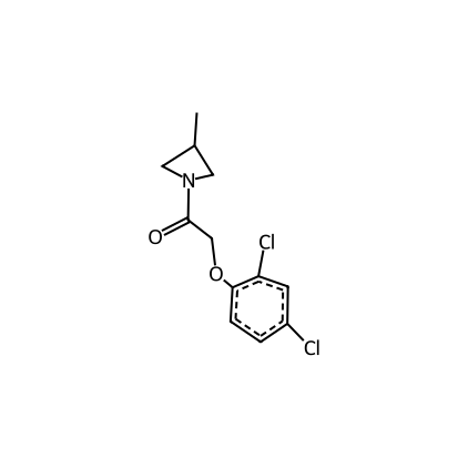 CC1CN(C(=O)COc2ccc(Cl)cc2Cl)C1